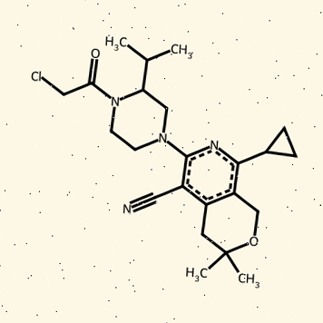 CC(C)C1CN(c2nc(C3CC3)c3c(c2C#N)CC(C)(C)OC3)CCN1C(=O)CCl